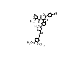 COc1ccc(CCNC(=O)/C=C(\C)c2ccc3oc(C(=O)c4ccc(C#N)cc4)c(NC(=O)c4cnoc4C)c3c2)cc1OC